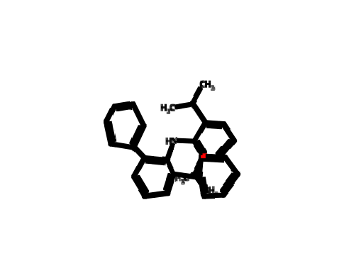 CC(C)c1cccc(C(C)C)c1Nc1c(-c2ccccc2)cccc1-c1ccccc1